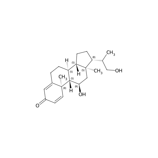 CC(CO)[C@H]1CC[C@H]2[C@@H]3CCC4=CC(=O)C=C[C@]4(C)[C@H]3[C@H](O)C[C@]12C